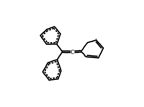 [C]1=CC=[C]C(=C=C(c2ccccc2)c2ccccc2)C1